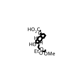 CC[C@@H](CC[C@@H]1[C@H]2Cc3cccc(OCC(=O)O)c3C[C@H]2C[C@H]1O)OC(=O)[C@H](C)OC